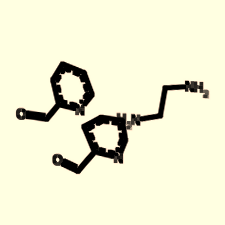 NCCN.O=Cc1ccccn1.O=Cc1ccccn1